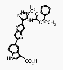 C[C@@H](OC(=O)Nc1c(-c2cc3sc(-c4ccc5[nH]cc(CC(=O)O)c5c4)cc3s2)nnn1C)c1ccccc1